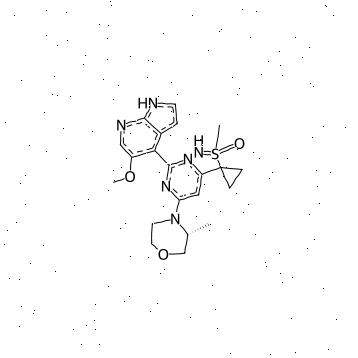 COc1cnc2[nH]ccc2c1-c1nc(N2CCOC[C@H]2C)cc(C2(S(C)(=N)=O)CC2)n1